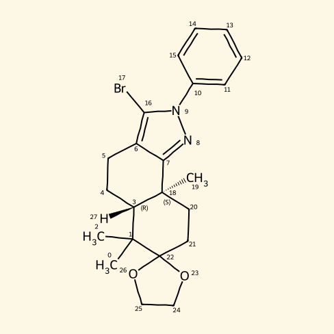 CC1(C)[C@@H]2CCc3c(nn(-c4ccccc4)c3Br)[C@@]2(C)CCC12OCCO2